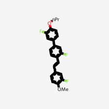 CCCOc1ccc(-c2ccc(C=Cc3ccc(OC)c(F)c3)c(F)c2)cc1F